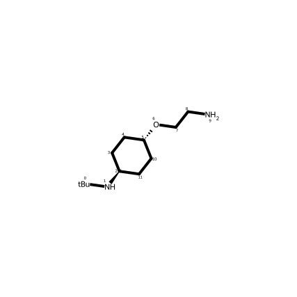 CC(C)(C)N[C@H]1CC[C@H](OCCN)CC1